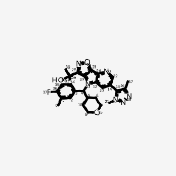 Cc1cc(C(C2CCOCC2)n2c3cc(-c4c(C)nnn4C)cnc3c3onc(C(C)(C)O)c32)ccc1F